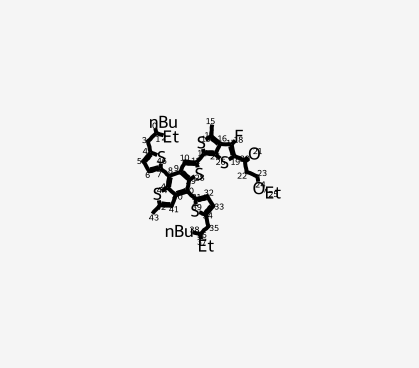 CCCCC(CC)Cc1ccc(-c2c3cc(-c4sc(C)c5c(F)c(C(=O)CCOCC)sc45)sc3c(-c3ccc(CC(CC)CCCC)s3)c3cc(C)sc23)s1